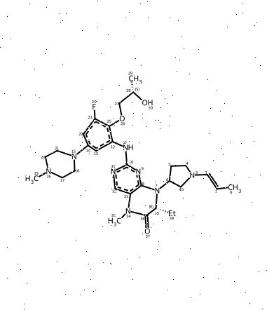 CC=CN1CCC(N2c3nc(Nc4cc(N5CCN(C)CC5)cc(F)c4OC[C@H](C)O)ncc3N(C)C(=O)[C@H]2CC)C1